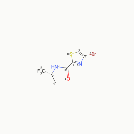 C[C@@H](NC(=O)c1nc(Br)cs1)C(F)(F)F